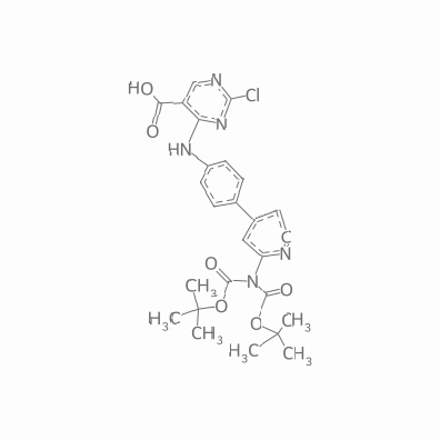 CC(C)(C)OC(=O)N(C(=O)OC(C)(C)C)c1cc(-c2ccc(Nc3nc(Cl)ncc3C(=O)O)cc2)ccn1